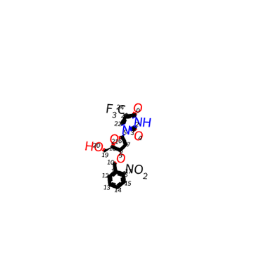 O=c1[nH]c(=O)n([C@H]2C[C@H](OCc3ccccc3[N+](=O)[O-])[C@@H](CO)O2)cc1C(F)(F)F